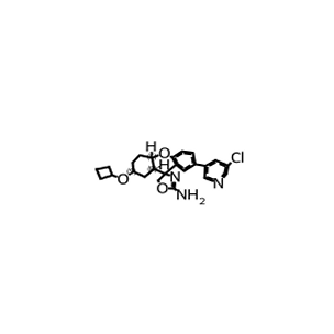 NC1=NC2(CO1)c1cc(-c3cncc(Cl)c3)ccc1O[C@H]1CC[C@H](OC3CCC3)C[C@@H]12